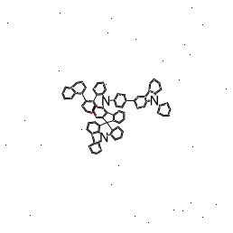 c1ccc(-n2c3ccccc3c3cc(-c4ccc(N(c5ccccc5-c5ccccc5-c5cccc6ccccc56)c5cccc6c5-c5ccccc5C65c6ccccc6-n6c7ccccc7c7cccc5c76)cc4)ccc32)cc1